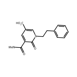 CNC(=O)c1cc(C(=O)O)cn(CCc2ccccc2)c1=O